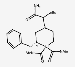 CCCCC(C(N)=O)N1CC[N+](C(=O)NC)(C(=O)NC)[C@H](Cc2ccccc2)C1